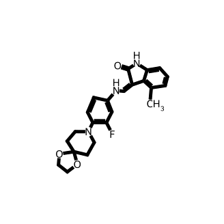 Cc1cccc2c1C(=CNc1ccc(N3CCC4(CC3)OCCO4)c(F)c1)C(=O)N2